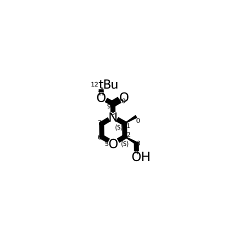 C[C@H]1[C@@H](CO)OCCN1C(=O)OC(C)(C)C